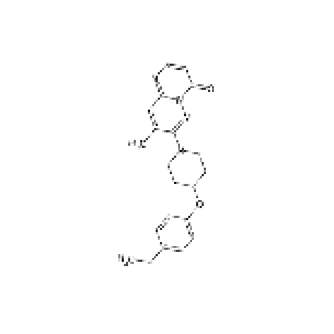 CCc1ccc(OC2CCN(c3nn4c(=O)ccnc4cc3C)CC2)cc1